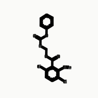 COc1c(Cl)ccc(Cl)c1C(=O)OCOC(=O)Oc1ccccc1